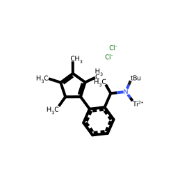 CC1=C(C)C(C)C(c2ccccc2C(C)[N]([Ti+2])C(C)(C)C)=C1C.[Cl-].[Cl-]